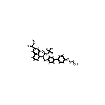 COC(=O)c1ccc2c(N(Cc3ccc(-c4ccc(OCCO)cc4)cc3)C(=O)CC(C)(C)C)nccc2c1